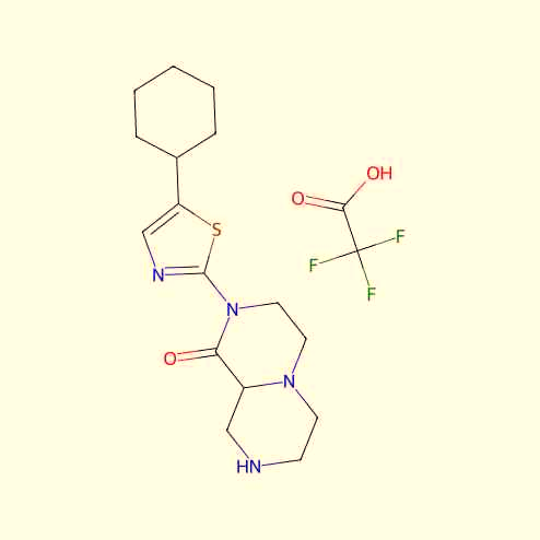 O=C(O)C(F)(F)F.O=C1C2CNCCN2CCN1c1ncc(C2CCCCC2)s1